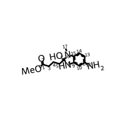 COC(=O)CCCC1(O)Nc2cc(N)ccc2N1C